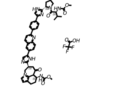 COC(=O)N[C@H]1CCc2ccn3c2C1C(=O)C[C@H](c1ncc(-c2ccc4nc(-c5ccc(-c6c[nH]c([C@@H]7CCCN7C(=O)[C@@H](NC(=O)OC)C(C)C)n6)cc5)ccc4c2)[nH]1)C3.O=C(O)C(F)(F)F